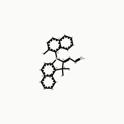 Cc1ccc2ccccc2c1N1/C(=C/C=O)C(C)(C)c2c1ccc1ccccc21